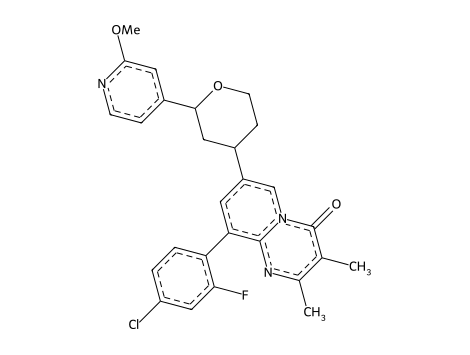 COc1cc(C2CC(c3cc(-c4ccc(Cl)cc4F)c4nc(C)c(C)c(=O)n4c3)CCO2)ccn1